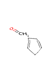 C1=CCC=C1.C=O